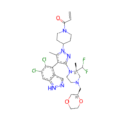 C=CC(=O)N1CCC(n2nc(N3CCN(C[C@@H]4COCCO4)C[C@@]3(C)C(F)F)c(-c3c(Cl)c(Cl)cc4[nH]ncc34)c2C)CC1